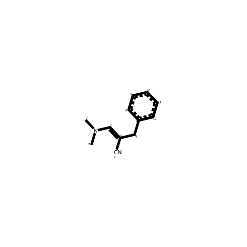 CN(C)C=C(C#N)Cc1ccccc1